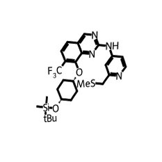 CSCc1cc(Nc2ncc3ccc(C(F)(F)F)c(O[C@H]4CC[C@@H](O[Si](C)(C)C(C)(C)C)CC4)c3n2)ccn1